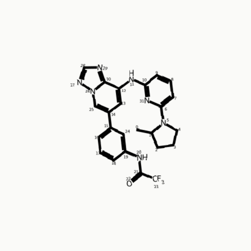 CC1CCCN1c1cccc(Nc2cc(-c3cccc(NC(=O)C(F)(F)F)c3)cn3ncnc23)n1